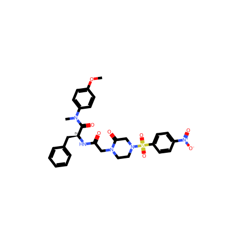 COc1ccc(N(C)C(=O)[C@H](Cc2ccccc2)NC(=O)CN2CCN(S(=O)(=O)c3ccc([N+](=O)[O-])cc3)CC2=O)cc1